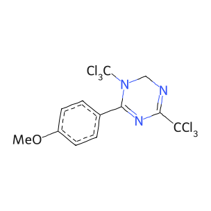 COc1ccc(C2=NC(C(Cl)(Cl)Cl)=NCN2C(Cl)(Cl)Cl)cc1